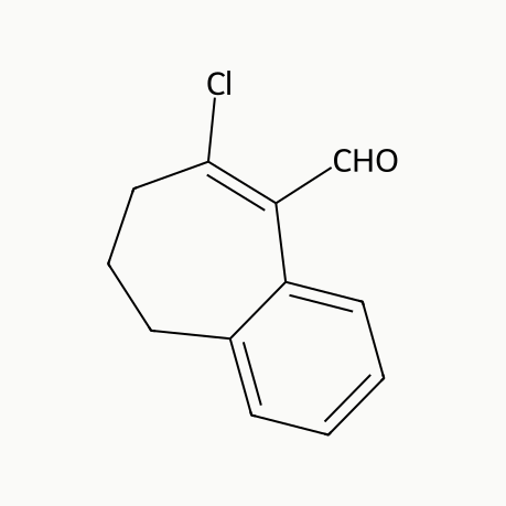 O=CC1=C(Cl)CCCc2ccccc21